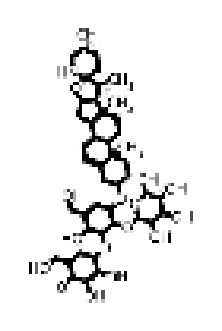 CC1OC(OC2C(OC3CCC4(C)C(=CCC5C4CCC4(C)C5CC5OC6(CC[C@@H](C)CN6)[C@@H](C)C54)C3)CC(CO)C(O)C2OC2CC(CO)C(O)C(O)C2O)C(O)C(O)C1O